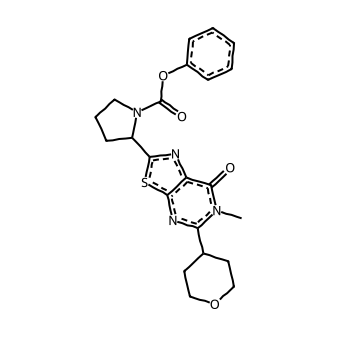 Cn1c(C2CCOCC2)nc2sc(C3CCCN3C(=O)Oc3ccccc3)nc2c1=O